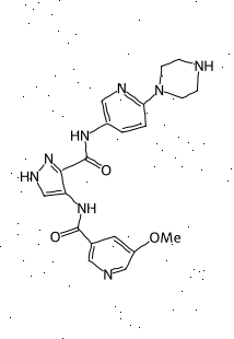 COc1cncc(C(=O)Nc2c[nH]nc2C(=O)Nc2ccc(N3CCNCC3)nc2)c1